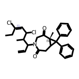 C=CC(C(C)C(Cl)/C=C(/Cl)CC)N1CC(=O)[C@@]2(C)C(CC1=O)C2(c1ccccc1)c1ccccc1